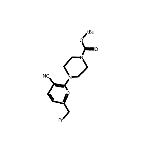 CC(C)Cc1ccc(C#N)c(N2CCN(C(=O)OC(C)(C)C)CC2)n1